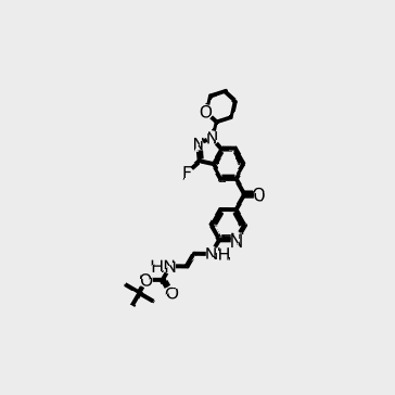 CC(C)(C)OC(=O)NCCNc1ccc(C(=O)c2ccc3c(c2)c(F)nn3C2CCCCO2)cn1